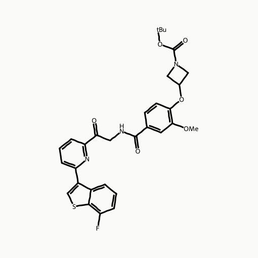 COc1cc(C(=O)NCC(=O)c2cccc(-c3csc4c(F)cccc34)n2)ccc1OC1CN(C(=O)OC(C)(C)C)C1